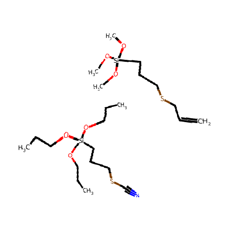 C=CCSCCC[Si](OC)(OC)OC.CCCO[Si](CCCSC#N)(OCCC)OCCC